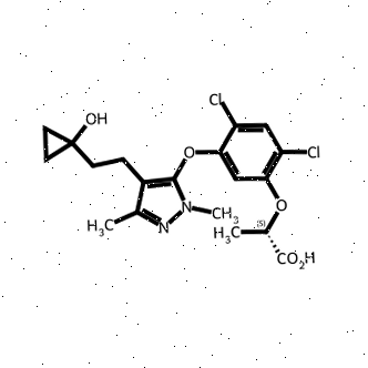 Cc1nn(C)c(Oc2cc(O[C@@H](C)C(=O)O)c(Cl)cc2Cl)c1CCC1(O)CC1